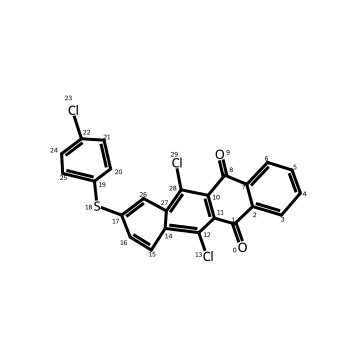 O=C1c2ccccc2C(=O)c2c1c(Cl)c1ccc(Sc3ccc(Cl)cc3)cc1c2Cl